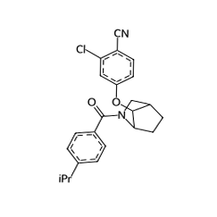 CC(C)c1ccc(C(=O)N2CC3CCC2C3Oc2ccc(C#N)c(Cl)c2)cc1